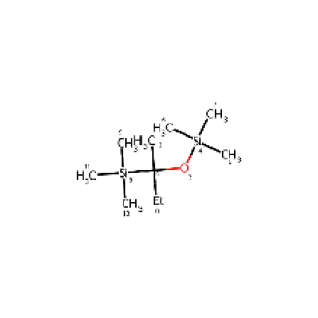 CCC(C)(O[Si](C)(C)C)[Si](C)(C)C